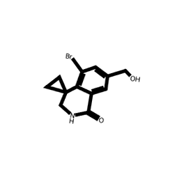 O=C1NCC2(CC2)c2c(Br)cc(CO)cc21